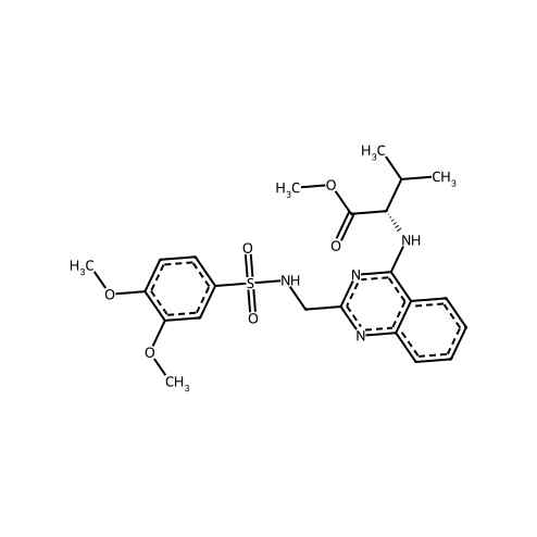 COC(=O)[C@@H](Nc1nc(CNS(=O)(=O)c2ccc(OC)c(OC)c2)nc2ccccc12)C(C)C